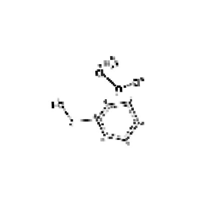 ClOCl.OCc1ccccc1.S